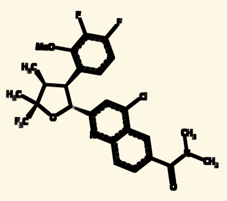 COc1c([C@H]2[C@H](c3cc(Cl)c4cc(C(=O)N(C)C)ccc4n3)O[C@@](C)(C(F)(F)F)[C@H]2C)ccc(F)c1F